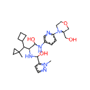 Cn1nccc1C(O)N[C@H](C(O)Nc1ccc([N+]2=C(CO)COCC2)nc1)C(C1CCC1)C1(C)CC1